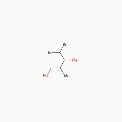 CCC(CC)C(O)C(CO)C(C)(C)C